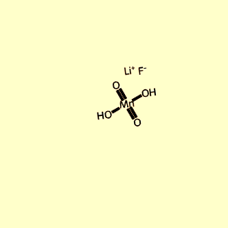 [F-].[Li+].[O]=[Mn](=[O])([OH])[OH]